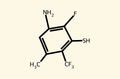 Cc1cc(N)c(F)c(S)c1C(F)(F)F